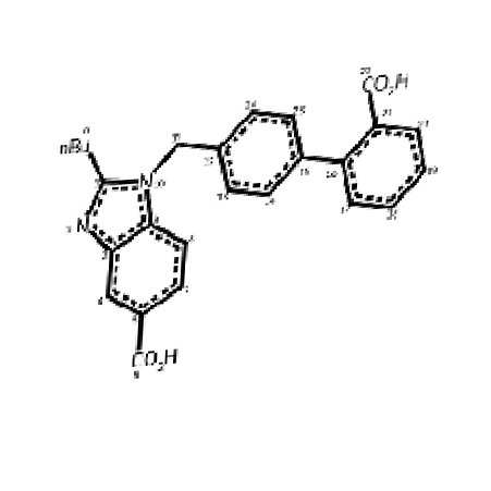 CCCCc1nc2cc(C(=O)O)ccc2n1Cc1ccc(-c2ccccc2C(=O)O)cc1